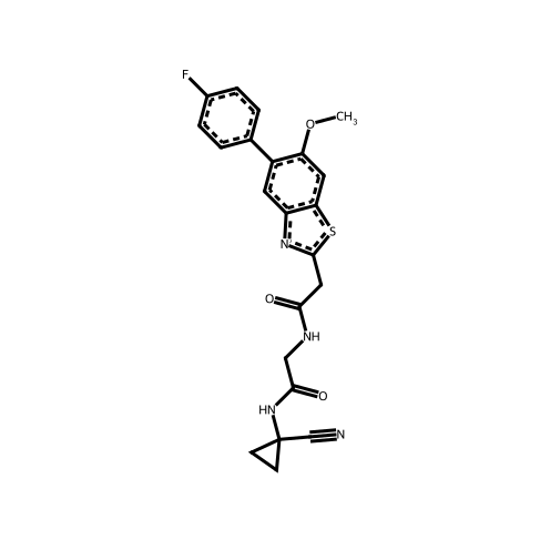 COc1cc2sc(CC(=O)NCC(=O)NC3(C#N)CC3)nc2cc1-c1ccc(F)cc1